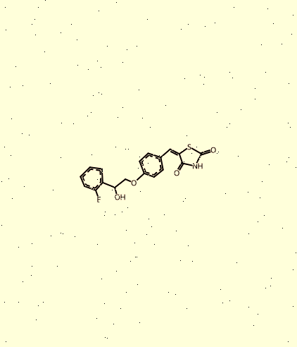 O=C1NC(=O)/C(=C\c2ccc(OCC(O)c3ccccc3F)cc2)S1